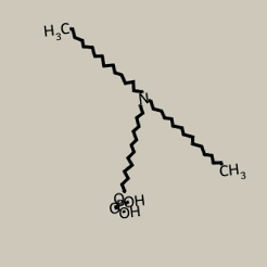 CCCCCCCCCCCCCCCCN(CCCCCCCCCCCCCCCC)CCCCCCCCCCCCCCOP(=O)(O)O